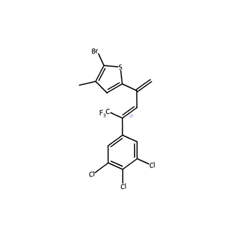 C=C(/C=C(/c1cc(Cl)c(Cl)c(Cl)c1)C(F)(F)F)c1cc(C)c(Br)s1